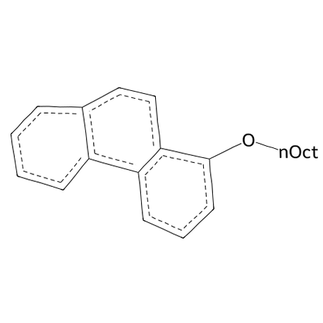 CCCCCCCCOc1cccc2c1ccc1ccccc12